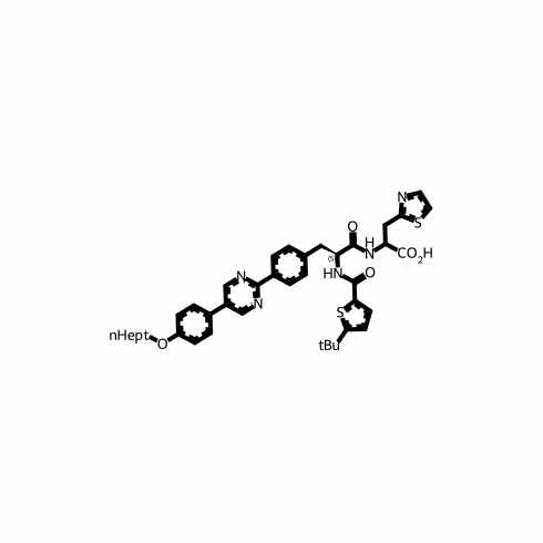 CCCCCCCOc1ccc(-c2cnc(-c3ccc(C[C@H](NC(=O)c4ccc(C(C)(C)C)s4)C(=O)NC(Cc4nccs4)C(=O)O)cc3)nc2)cc1